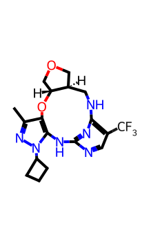 Cc1nn(C2CCC2)c2c1O[C@@H]1COC[C@H]1CNc1nc(ncc1C(F)(F)F)N2